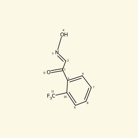 O=C(/C=N/O)c1ccccc1C(F)(F)F